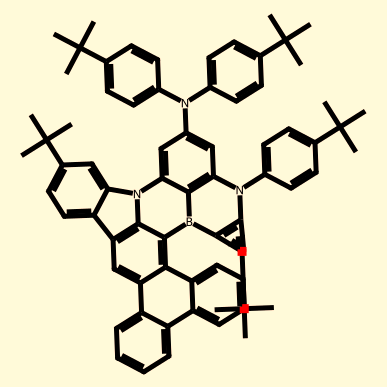 CC(C)(C)c1ccc(N(c2ccc(C(C)(C)C)cc2)c2cc3c4c(c2)-n2c5cc(C(C)(C)C)ccc5c5cc6c7ccccc7c7ccccc7c6c(c52)B4c2cc(C(C)(C)C)ccc2N3c2ccc(C(C)(C)C)cc2)cc1